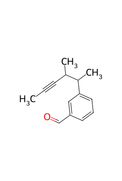 CC#CC(C)C(C)c1cccc(C=O)c1